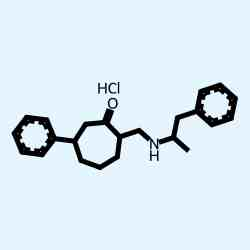 CC(Cc1ccccc1)NCC1CCCC(c2ccccc2)CC1=O.Cl